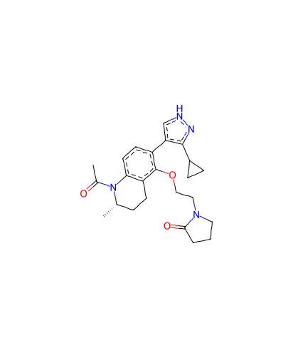 CC(=O)N1c2ccc(-c3c[nH]nc3C3CC3)c(OCCN3CCCC3=O)c2CC[C@@H]1C